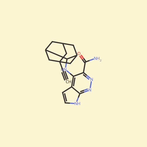 C#CC12CC3CC(C1)C(Nc1c(C(N)=O)nnc4[nH]ccc14)C(C3)C2